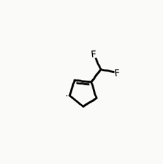 FC(F)C1=C[CH]CC1